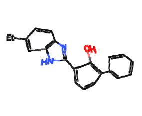 CCc1ccc2nc(-c3cccc(-c4ccccc4)c3O)[nH]c2c1